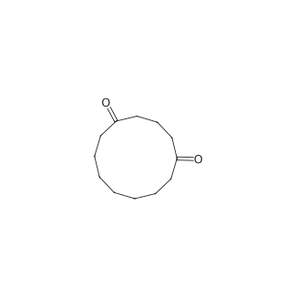 O=C1CCCCCCCC(=O)CCC1